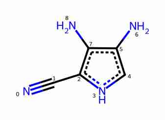 N#Cc1[nH]cc(N)c1N